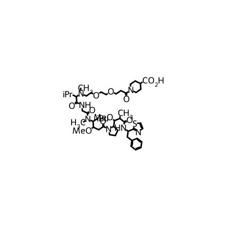 CCC(C)C(C(CC(=O)N1CCCC1C(OC)C(C)C(=O)NC(Cc1ccccc1)c1nccs1)OC)N(C)C(=O)CNC(=O)C(C(C)C)N(C)CCOCCOCCC(=O)N1CCC(C(=O)O)CC1